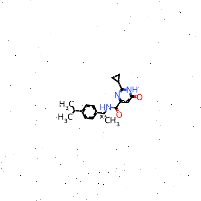 CC(C)c1ccc([C@@H](C)NC(=O)c2cc(=O)[nH]c(C3CC3)n2)cc1